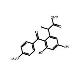 COC(=O)C(I)c1cc(O)cc(O)c1C(=O)c1ccc(OC)cc1